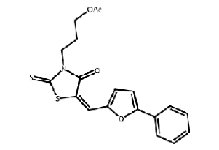 CC(=O)OCCCN1C(=O)/C(=C\c2ccc(-c3ccccc3)o2)SC1=S